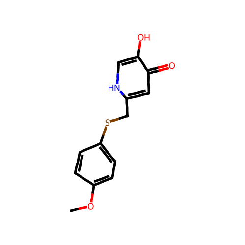 COc1ccc(SCc2cc(=O)c(O)c[nH]2)cc1